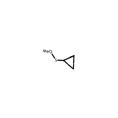 COSC1CC1